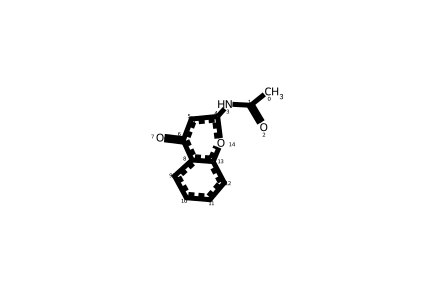 CC(=O)Nc1cc(=O)c2ccccc2o1